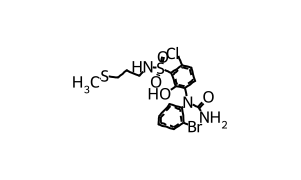 CSCCCNS(=O)(=O)c1c(Cl)ccc(N(C(N)=O)c2ccccc2Br)c1O